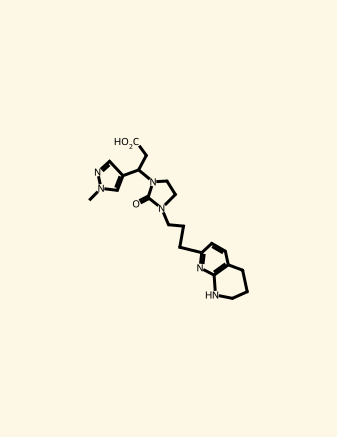 Cn1cc(C(CC(=O)O)N2CCN(CCCc3ccc4c(n3)NCCC4)C2=O)cn1